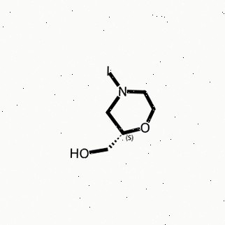 OC[C@@H]1CN(I)CCO1